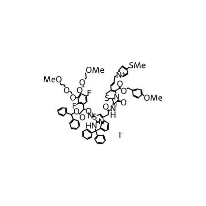 COCCOCOc1c(F)cc(C(ON=S2C=C(CC(=O)N[C@H]3C(=O)N4C(C(=O)OCc5ccc(OC)cc5)=C(C=CC[n+]5ccc(SC)cc5)CSC34)N=C2NC(c2ccccc2)(c2ccccc2)c2ccccc2)C(=O)OC(c2ccccc2)c2ccccc2)c(F)c1OCOCCOC.[I-]